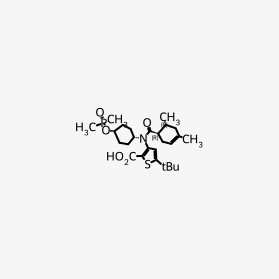 CC1=CC[C@@H](C(=O)N(c2cc(C(C)(C)C)sc2C(=O)O)[C@H]2CC[C@H](OP(C)(C)=O)CC2)[C@H](C)C1